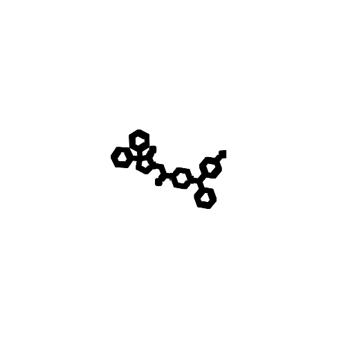 O=C(CN1CCC(c2ccccc2)(c2ccccc2)C1=O)N1CCN(C(c2ccccc2)c2ccc(Cl)cc2)CC1